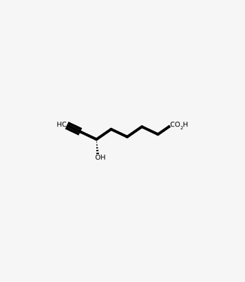 C#C[C@@H](O)CCCCC(=O)O